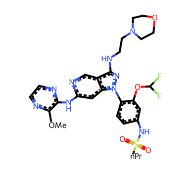 CCCS(=O)(=O)Nc1ccc(-n2nc(NCCN3CCOCC3)c3cnc(Nc4nccnc4OC)cc32)c(OC(F)F)c1